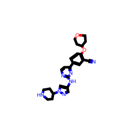 N#Cc1cc(-c2ccnc(Nc3cnn(C4CCNCC4)c3)n2)ccc1OC1CCOCC1